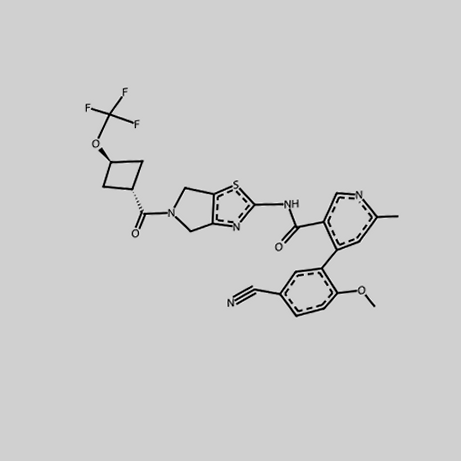 COc1ccc(C#N)cc1-c1cc(C)ncc1C(=O)Nc1nc2c(s1)CN(C(=O)[C@H]1C[C@H](OC(F)(F)F)C1)C2